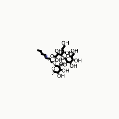 CCC/C=C/[C@H](COC1O[C@@H](C)C(O)C(O)[C@@H]1O)O[C@H](O)C(O)C(O[C@H]1OC(CO)[C@H](O)C(O)C1O)[C@@H](O)CCO